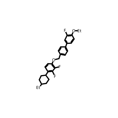 CCOc1ccc(-c2ccc(COc3ccc(C4CCC(CC)CC4)c(F)c3F)cc2)cc1F